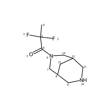 CC(F)(F)C(=O)N1CC2CNCC(C2)C1